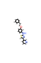 c1ccc(CCOc2cccc(Nc3nc(-c4cccnc4)cs3)c2)cc1